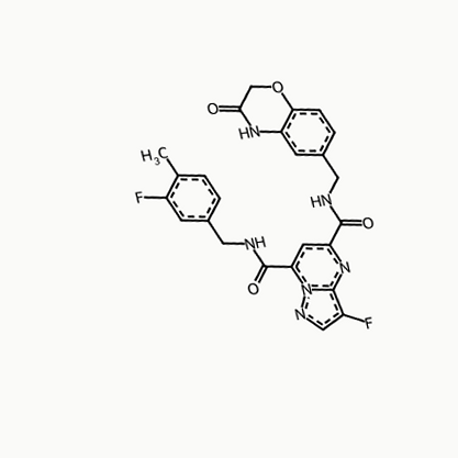 Cc1ccc(CNC(=O)c2cc(C(=O)NCc3ccc4c(c3)NC(=O)CO4)nc3c(F)cnn23)cc1F